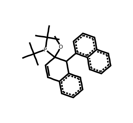 COC1(P(C(C)(C)C)C(C)(C)C)C=Cc2ccccc2C1c1cccc2ccccc12